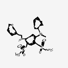 CN(c1ccccc1)c1cc(NCc2ccco2)c(S(=O)(=O)O)cc1S(N)(=O)=O